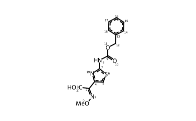 CO/N=C(\C(=O)O)c1csc(NC(=O)OCc2ccccc2)n1